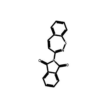 O=C1c2ccccc2C(=O)N1C1=NSc2ccccc2C=C1